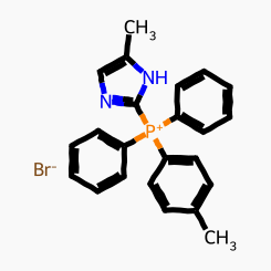 Cc1ccc([P+](c2ccccc2)(c2ccccc2)c2ncc(C)[nH]2)cc1.[Br-]